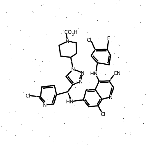 N#Cc1cnc2c(Cl)cc(N[C@@H](c3ccc(Cl)nc3)c3cn(C4CCN(C(=O)O)CC4)nn3)cc2c1Nc1ccc(F)c(Cl)c1